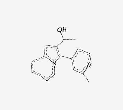 Cc1cc(-c2c(C(C)O)cc3ccccn23)ccn1